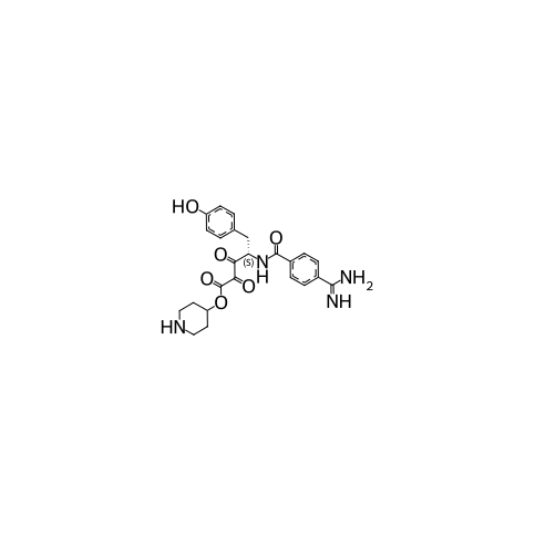 N=C(N)c1ccc(C(=O)N[C@@H](Cc2ccc(O)cc2)C(=O)C(=O)C(=O)OC2CCNCC2)cc1